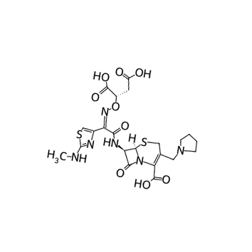 CNc1nc(/C(=N/O[C@@H](CC(=O)O)C(=O)O)C(=O)N[C@@H]2C(=O)N3C(C(=O)O)=C(CN4CCCC4)CS[C@H]23)cs1